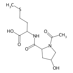 CSCCC(NC(=O)C1CC(O)CN1C(C)=O)C(=O)O